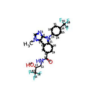 Cn1cnc2c1c1cc(C(=O)NC[C@H](O)C(F)(F)F)ccc1n2-c1ccc(C(F)(F)F)cc1